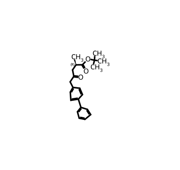 C[C@H](CC(=O)Cc1ccc(-c2ccccc2)cc1)C(=O)OC(C)(C)C